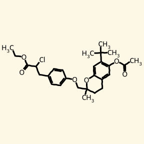 CCOC(=O)C(Cl)Cc1ccc(OCC2(C)CCc3cc(OC(C)=O)c(C(C)(C)C)cc3O2)cc1